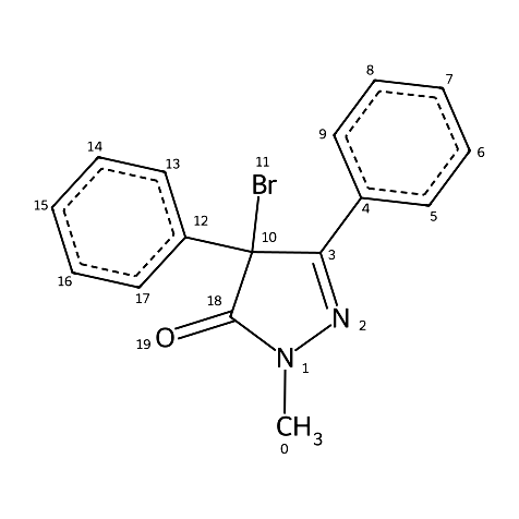 CN1N=C(c2ccccc2)C(Br)(c2ccccc2)C1=O